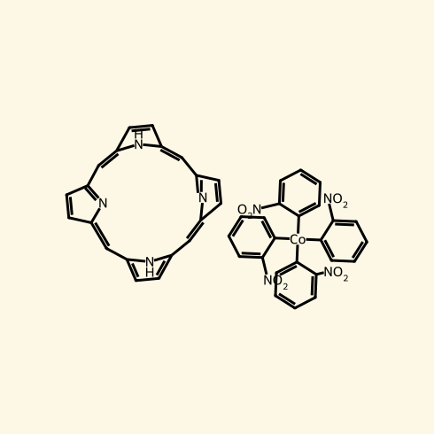 C1=Cc2cc3ccc(cc4nc(cc5ccc(cc1n2)[nH]5)C=C4)[nH]3.O=[N+]([O-])c1cccc[c]1[Co]([c]1ccccc1[N+](=O)[O-])([c]1ccccc1[N+](=O)[O-])[c]1ccccc1[N+](=O)[O-]